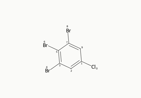 Clc1cc(Br)c(Br)c(Br)c1